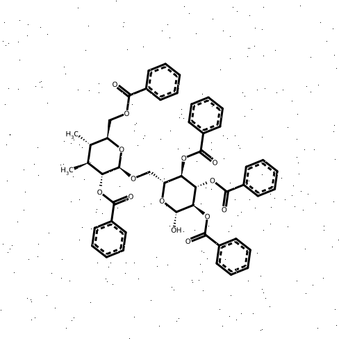 C[C@H]1[C@H](C)[C@@H](COC(=O)c2ccccc2)O[C@@H](OC[C@H]2O[C@@H](O)[C@H](OC(=O)c3ccccc3)[C@@H](OC(=O)c3ccccc3)[C@@H]2OC(=O)c2ccccc2)[C@@H]1OC(=O)c1ccccc1